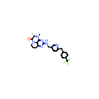 C[C@H]1C(=O)N2CCCc3nc(NCc4ccc(Cc5ccc(C(F)(F)F)cc5)nc4)nc(c32)N1C